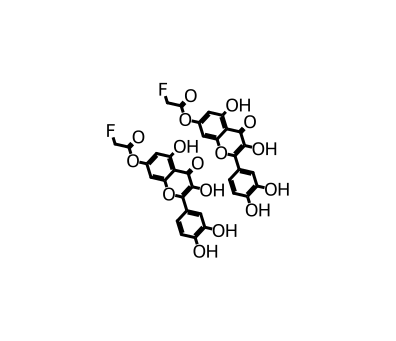 O=C(CF)Oc1cc(O)c2c(=O)c(O)c(-c3ccc(O)c(O)c3)oc2c1.O=C(CF)Oc1cc(O)c2c(=O)c(O)c(-c3ccc(O)c(O)c3)oc2c1